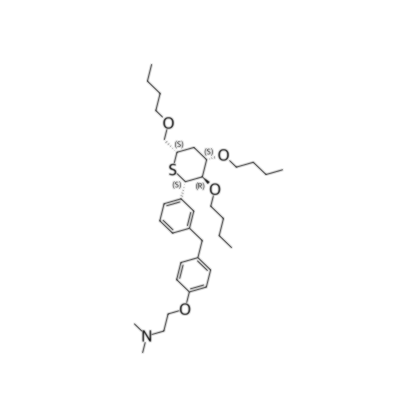 CCCCOC[C@@H]1C[C@H](OCCCC)[C@@H](OCCCC)[C@H](c2cccc(Cc3ccc(OCCN(C)C)cc3)c2)S1